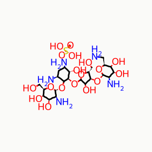 NC[C@@H]1O[C@H](O[C@@H]2[C@@H](CO)OC(O[C@H]3C(O[C@H]4O[C@H](CO)[C@@H](O)[C@H](O)[C@H]4N)[C@@H](N)C[C@@H](N)[C@@H]3O)[C@@H]2O)[C@H](N)[C@@H](O)[C@@H]1O.O=S(=O)(O)O